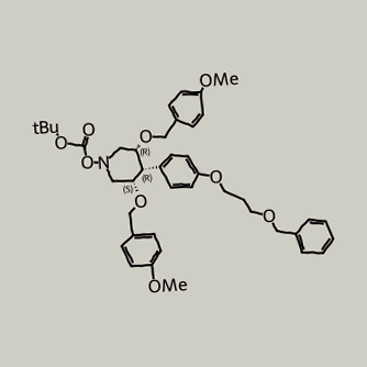 COc1ccc(CO[C@H]2CN(OC(=O)OC(C)(C)C)C[C@@H](OCc3ccc(OC)cc3)[C@H]2c2ccc(OCCCOCc3ccccc3)cc2)cc1